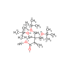 C=C(C(=O)OCCC)C([SiH2]O[Si](C)(C)C)([SiH2]O[Si](C)(C)C)[SiH2]O[Si](C)(C)C